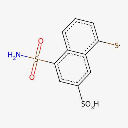 NS(=O)(=O)c1cc(S(=O)(=O)O)cc2c([S])cccc12